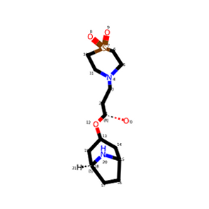 [O][C@@H](CCN1CCS(=O)(=O)CC1)OC1CC2CC[C@@H](C1)N2